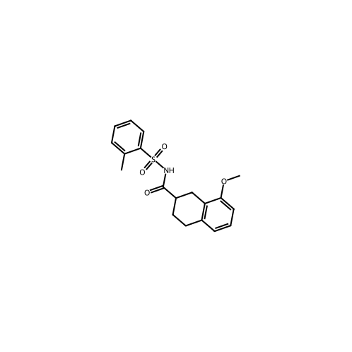 COc1cccc2c1CC(C(=O)NS(=O)(=O)c1ccccc1C)CC2